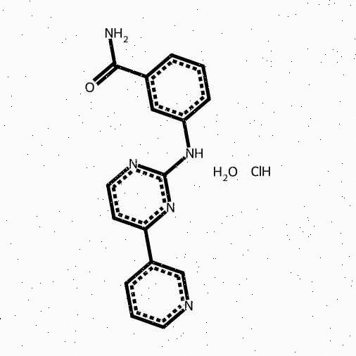 Cl.NC(=O)c1cccc(Nc2nccc(-c3cccnc3)n2)c1.O